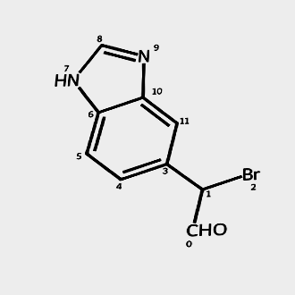 O=CC(Br)c1ccc2[nH]cnc2c1